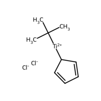 C[C](C)(C)[Ti+2][CH]1C=CC=C1.[Cl-].[Cl-]